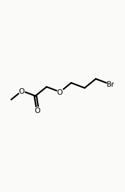 COC(=O)COCCCBr